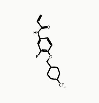 C=CC(=O)Nc1ccc(OCC2CCC(C(F)(F)F)CC2)c(F)c1